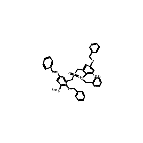 CCOC(=O)c1cc(OCc2ccccc2)cc(CS(=O)(=O)Cc2cc(OCc3ccccc3)cc(C(=O)OCC)c2OCc2ccccc2)c1OCc1ccccc1